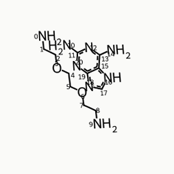 NCCOCCOCCN.Nc1nc(N)c2[nH]cnc2n1